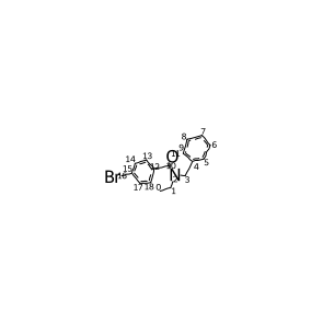 CCN(Cc1ccccc1)C(=O)c1ccc(Br)cc1